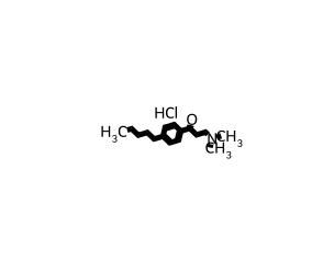 CCCCCc1ccc(C(=O)CCN(C)C)cc1.Cl